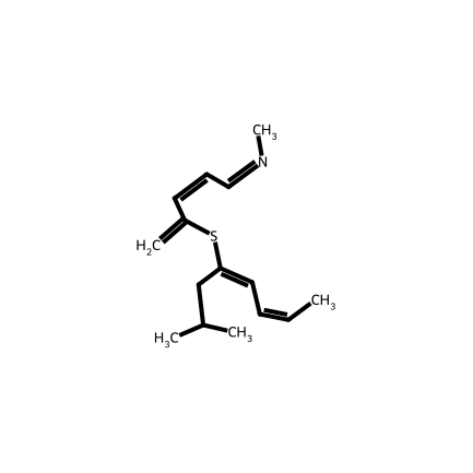 C=C(/C=C\C=N/C)S/C(=C/C=C\C)CC(C)C